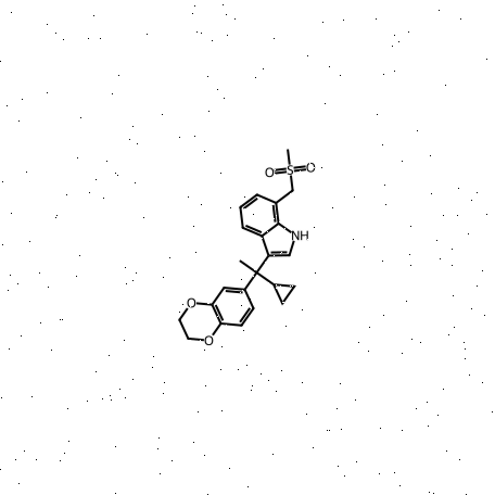 CC(c1ccc2c(c1)OCCO2)(c1c[nH]c2c(CS(C)(=O)=O)cccc12)C1CC1